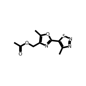 CC(=O)OCc1nc(-c2snnc2C)oc1C